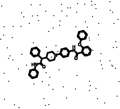 O=C(Nc1ccc(N2CCC(C(C(=O)Nc3ccccc3)c3ccccc3)CC2)cc1)c1ccccc1Oc1ccccc1